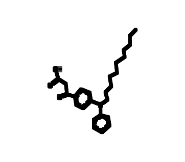 CCCCCCCCCCCN(c1ccccc1)c1ccc(C(=O)CC(=O)O)cc1